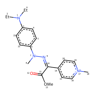 CCN(CC)c1ccc(N(C)/N=C(\C(=O)OC)c2cc[n+](C)cc2)cc1